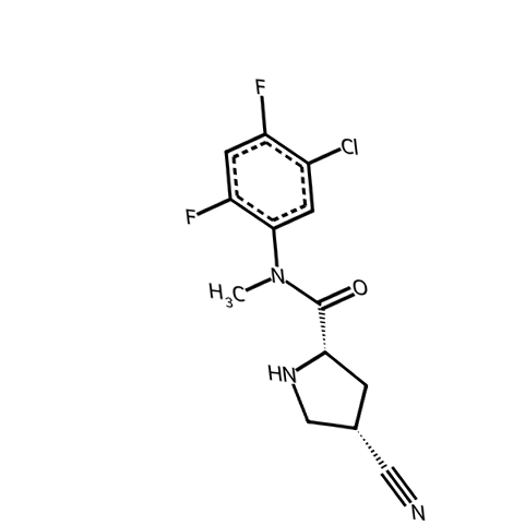 CN(C(=O)[C@@H]1C[C@H](C#N)CN1)c1cc(Cl)c(F)cc1F